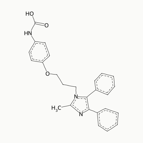 Cc1nc(-c2ccccc2)c(-c2ccccc2)n1CCCOc1ccc(NC(=O)O)cc1